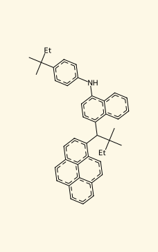 CCC(C)(C)c1ccc(Nc2ccc(C(c3ccc4ccc5cccc6ccc3c4c56)C(C)(C)CC)c3ccccc23)cc1